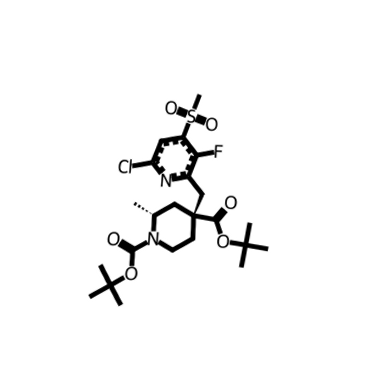 C[C@@H]1C[C@](Cc2nc(Cl)cc(S(C)(=O)=O)c2F)(C(=O)OC(C)(C)C)CCN1C(=O)OC(C)(C)C